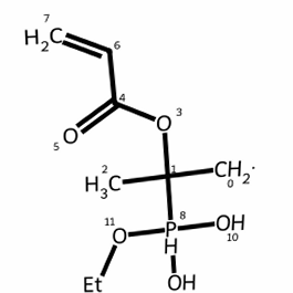 [CH2]C(C)(OC(=O)C=C)[PH](O)(O)OCC